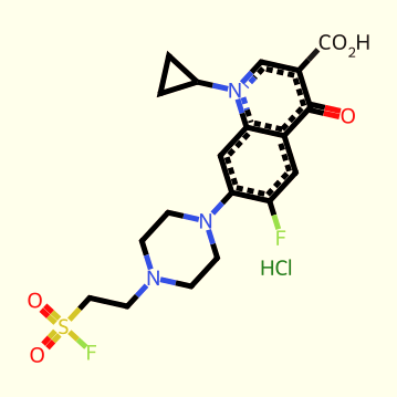 Cl.O=C(O)c1cn(C2CC2)c2cc(N3CCN(CCS(=O)(=O)F)CC3)c(F)cc2c1=O